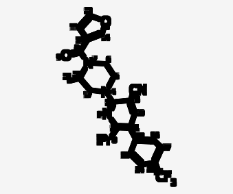 CC(C)c1nc(N2CCN(C(=O)c3ccoc3)C(C)C2)c(C#N)cc1-c1ccc(C(F)(F)F)cc1